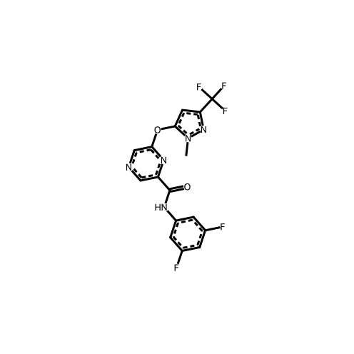 Cn1nc(C(F)(F)F)cc1Oc1cncc(C(=O)Nc2cc(F)cc(F)c2)n1